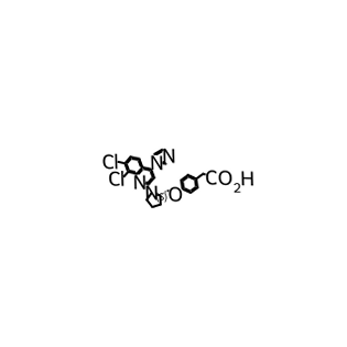 O=C(O)Cc1ccc(OC[C@@H]2CCCN2c2cc(-n3ccnc3)c3ccc(Cl)c(Cl)c3n2)cc1